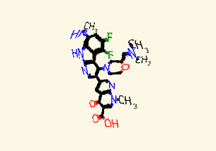 CNc1cc(F)c(F)c2c1[nH]c1ncc(-c3cnc4c(c3)c(=O)c(C(=O)O)cn4C)c(N3CCOC(CN(C)C)C3)c12